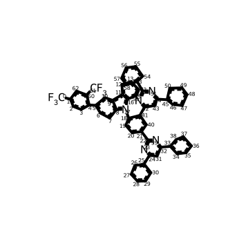 FC(F)(F)c1ccc(-c2ccc3c(c2)c2ccccc2n3-c2ccc(-c3nc(-c4ccccc4)cc(-c4ccccc4)n3)cc2-c2cc(-c3ccccc3)nc(-c3ccccc3)n2)c(C(F)(F)F)c1